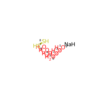 O.O.O.O.O.O.O.SS.[NaH]